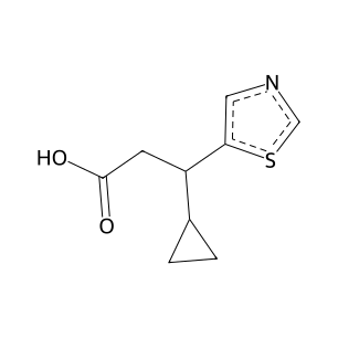 O=C(O)CC(c1cncs1)C1CC1